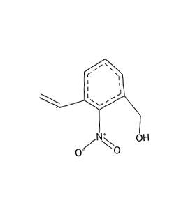 C=[C]c1cccc(CO)c1[N+](=O)[O-]